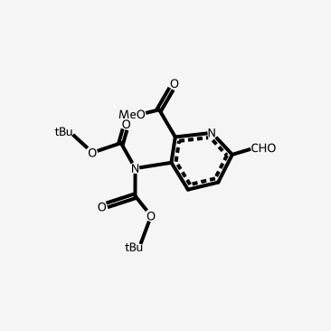 COC(=O)c1nc(C=O)ccc1N(C(=O)OC(C)(C)C)C(=O)OC(C)(C)C